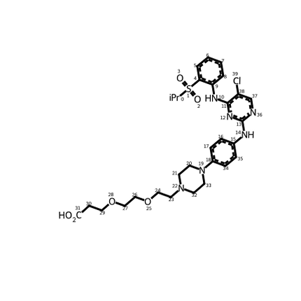 CC(C)S(=O)(=O)c1ccccc1Nc1nc(Nc2ccc(N3CCN(CCOCCOCCC(=O)O)CC3)cc2)ncc1Cl